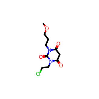 COCCCN1C(=O)CC(=O)N(CCCl)C1=O